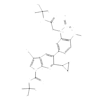 COc1ccc(-c2cc3c(I)cn(C(=O)OC(C)(C)C)c3nc2C2CC2)cc1N(CC(=O)OC(C)(C)C)[SH](=O)=O